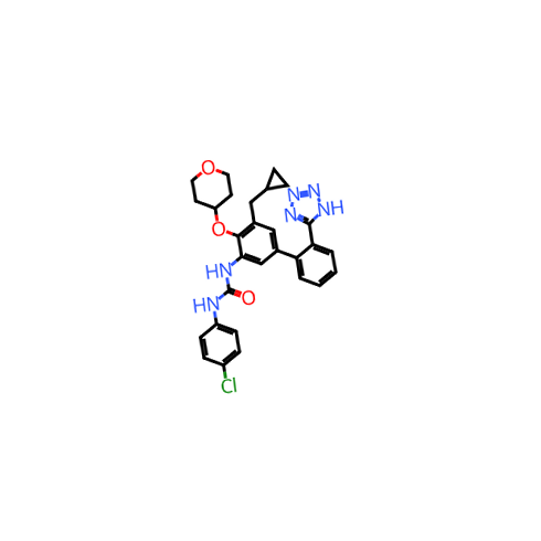 O=C(Nc1ccc(Cl)cc1)Nc1cc(-c2ccccc2-c2nnn[nH]2)cc(CC2CC2)c1OC1CCOCC1